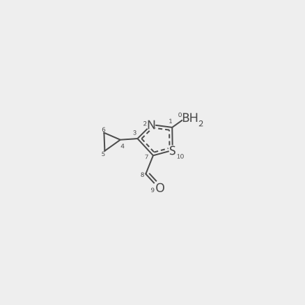 Bc1nc(C2CC2)c(C=O)s1